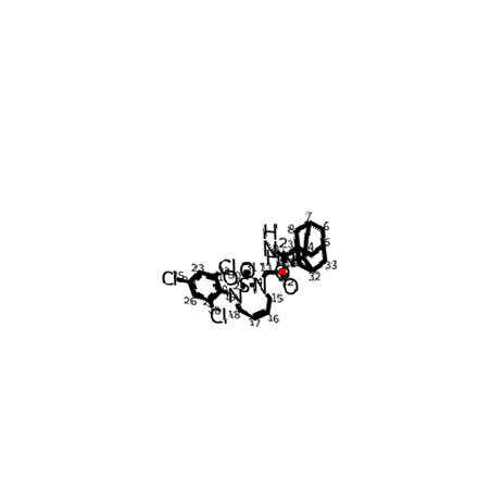 NC(=O)C12CC3CC(C1)C(NC(=O)CN1CC=CCN(c4c(Cl)cc(Cl)cc4Cl)S1(=O)=O)C(C3)C2